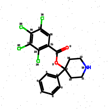 O=C(OC1(c2ccccc2)CCNCC1)c1cc(Cl)c(Cl)c(Cl)c1Cl